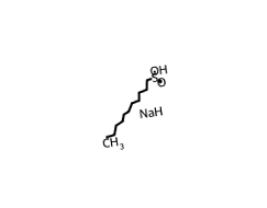 CCCCCCCCCCCCS(=O)O.[NaH]